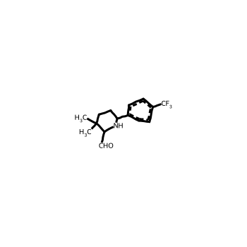 CC1(C)CCC(c2ccc(C(F)(F)F)cc2)NC1C=O